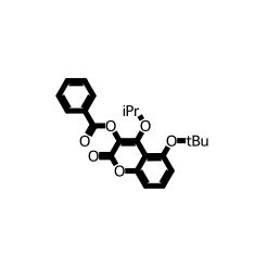 CC(C)Oc1c(OC(=O)c2ccccc2)c(=O)oc2cccc(OC(C)(C)C)c12